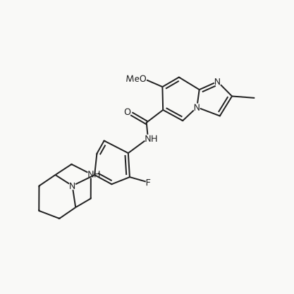 COc1cc2nc(C)cn2cc1C(=O)Nc1ccc(N2C3CCCC2CNC3)cc1F